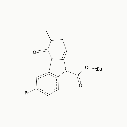 CC1CC=C2C(C1=O)c1cc(Br)ccc1N2C(=O)OC(C)(C)C